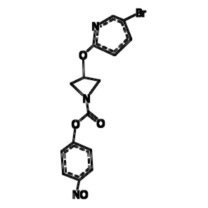 O=Nc1ccc(OC(=O)N2CC(Oc3ccc(Br)cn3)C2)cc1